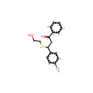 O=C(CC(SCCO)c1ccc(Cl)cc1)c1ccccc1